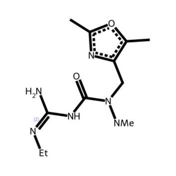 CC/N=C(/N)NC(=O)N(Cc1nc(C)oc1C)NC